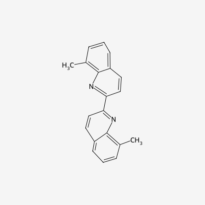 Cc1cccc2ccc(-c3ccc4cccc(C)c4n3)nc12